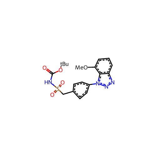 COc1cccc2nnn(-c3ccc(CS(=O)(=O)NC(=O)OC(C)(C)C)cc3)c12